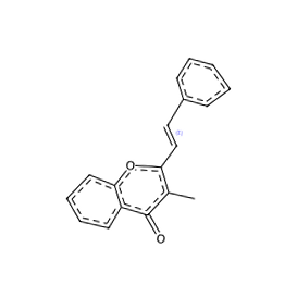 Cc1c(/C=C/c2ccccc2)oc2ccccc2c1=O